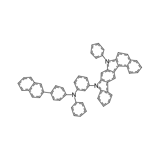 c1ccc(N(c2ccc(-c3ccc4ccccc4c3)cc2)c2cccc(-n3c4ccccc4c4cc5c6c7ccccc7ccc6n(-c6ccccc6)c5cc43)c2)cc1